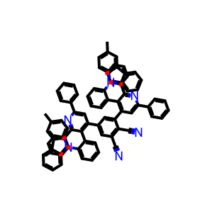 Cc1ccc2c(c1)c1ccccc1n2-c1ccccc1-c1c(-c2cc(C#N)c(C#N)c(-c3cc(-c4ccccc4)nc(-c4ccccc4)c3-c3ccccc3-n3c4ccccc4c4cc(C)ccc43)c2)cc(-c2ccccc2)nc1-c1ccccc1